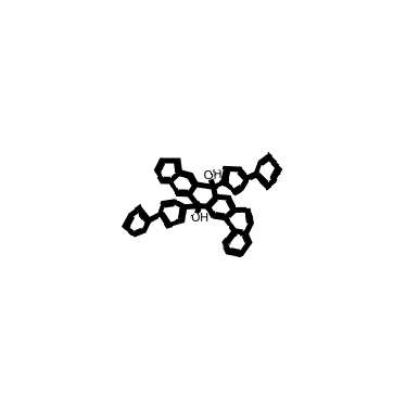 OC1(c2ccc(-c3ccccc3)cc2)c2cc3ccccc3cc2C(O)(c2ccc(-c3ccccc3)cc2)c2cc3c(ccc4ccccc43)cc21